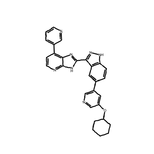 c1cncc(-c2ccnc3[nH]c(-c4n[nH]c5ccc(-c6cncc(OC7CCCCC7)c6)cc45)nc23)c1